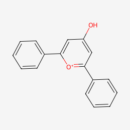 Oc1cc(-c2ccccc2)[o+]c(-c2ccccc2)c1